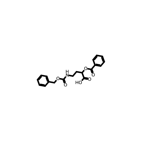 O=C(NCCC(OC(=O)c1ccccc1)C(=O)O)OCc1ccccc1